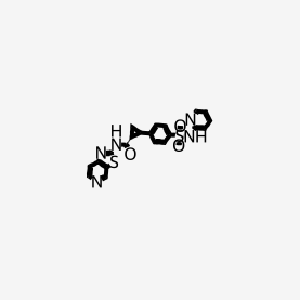 O=C(Nc1nc2ccncc2s1)[C@@H]1CC1c1ccc(S(=O)(=O)Nc2ccccn2)cc1